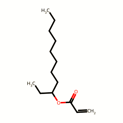 C=CC(=O)OC(CC)CCCCCCCC